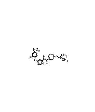 CN(C)CCN1CCCN(C(=O)Nc2cc(Oc3ccc([N+](=O)[O-])cc3F)ncn2)CC1